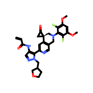 C=CC(=O)Nc1cnn(CC2CCOC2)c1-c1cc2c(cn1)CN(c1c(F)c(OC)cc(OC)c1F)C[C@@]21CC1=O